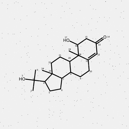 CC(C)(O)C1CCC2C3CCC4=CC(=O)CC(O)C4(C)C3CCC21C